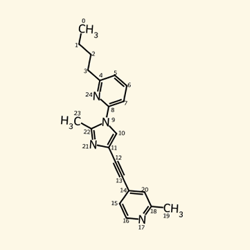 CCCCc1cccc(-n2cc(C#Cc3ccnc(C)c3)nc2C)n1